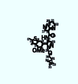 COc1cc2cc(C)sc2cc1-c1c(NC(=O)c2cnn3cccnc23)cnn1COCC[Si](C)(C)C